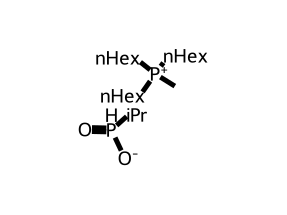 CC(C)[PH](=O)[O-].CCCCCC[P+](C)(CCCCCC)CCCCCC